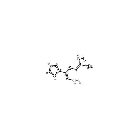 C/C=C(\S/C=C(\N)C(C)(C)C)c1ccco1